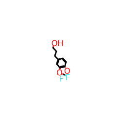 OCCCc1ccc2c(c1)OC(F)(F)O2